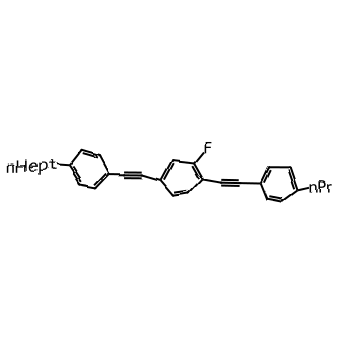 CCCCCCCc1ccc(C#Cc2ccc(C#Cc3ccc(CCC)cc3)c(F)c2)cc1